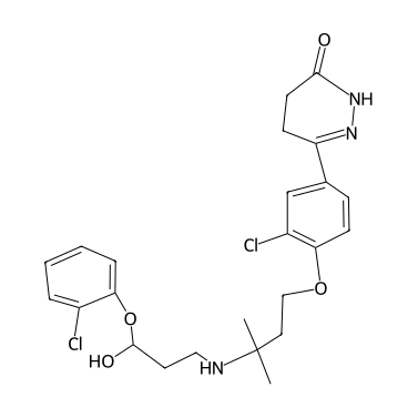 CC(C)(CCOc1ccc(C2=NNC(=O)CC2)cc1Cl)NCCC(O)Oc1ccccc1Cl